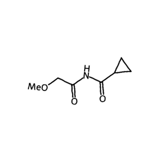 COCC(=O)NC(=O)C1CC1